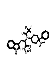 CN(C)C1(c2ccccc2)CCC(N(C(=O)C(F)(F)F)C(Cc2c[nH]c3ccccc23)c2nnn[nH]2)CC1